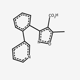 Cc1onc(-c2ccccc2-c2cccnc2)c1C(=O)O